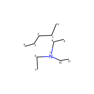 CCCCC.CCN(CC)CC